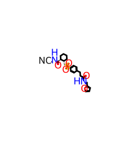 N#CCNC(=O)[C@H]1CCCC[C@@H]1CS(=O)(=O)c1ccc(CCC(=O)NCc2ccco2)cc1